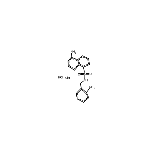 Cl.Cl.Nc1ccccc1CNS(=O)(=O)c1cccc2c(N)cccc12